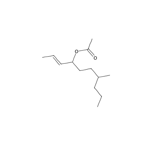 CC=CC(CCC(C)CCC)OC(C)=O